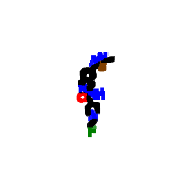 Cc1nnc(-c2ccc3cnc(NC(=O)C4CCN(CCF)CC4)cc3c2)s1